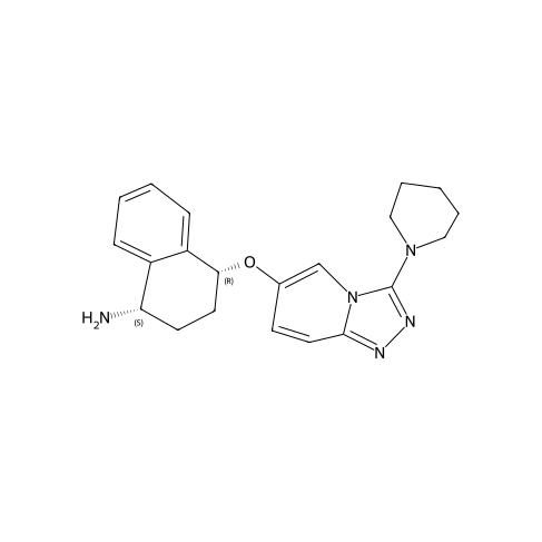 N[C@H]1CC[C@@H](Oc2ccc3nnc(N4CCCCC4)n3c2)c2ccccc21